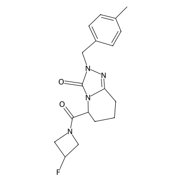 Cc1ccc(Cn2nc3n(c2=O)C(C(=O)N2CC(F)C2)CCC3)cc1